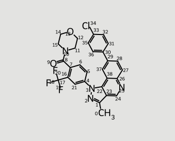 Cc1nn(-c2ccc(C(=O)N3CCOCC3)c(C(F)(F)F)c2)c2c1cnc1ccc(-c3ccc(Cl)cc3)cc12